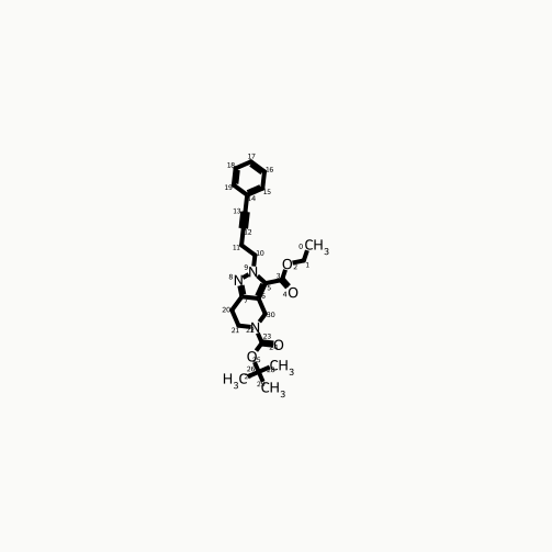 CCOC(=O)c1c2c(nn1CCC#Cc1ccccc1)CCN(C(=O)OC(C)(C)C)C2